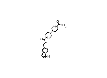 NC(=O)N1CCC(C2CCN(C(=O)[CH]Cc3ccc4[nH]ccc4c3)CC2)CC1